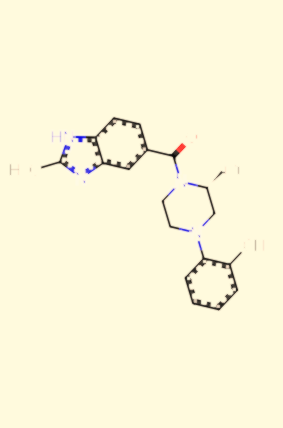 Cc1nc2cc(C(=O)N3CCN(c4ccccc4C)C[C@@H]3C(C)C)ccc2[nH]1